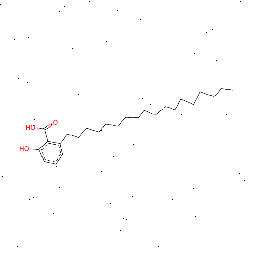 CCCCCCCCCCCCCCCCCCc1cccc(O)c1C(=O)O